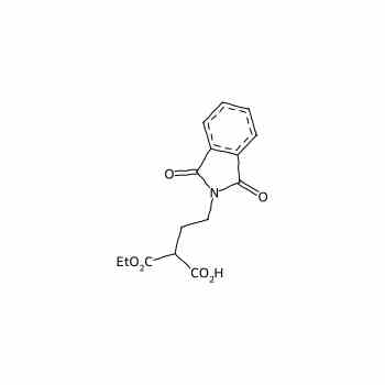 CCOC(=O)C(CCN1C(=O)c2ccccc2C1=O)C(=O)O